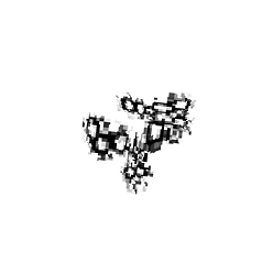 c1ccc2cc3c(cc2c1)c1cc2ccccc2cc1n3-c1cc(-c2nc(-c3ccc4c(ccc5ccccc54)c3)nc(-c3cccc4ccccc34)n2)cc2oc3ccccc3c12